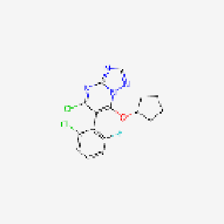 Fc1cccc(Cl)c1-c1c(Cl)nc2ncnn2c1OC1CCCC1